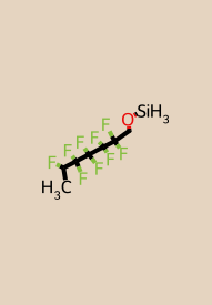 CC(F)C(F)(F)C(F)(F)C(F)(F)C(F)(F)CO[SiH3]